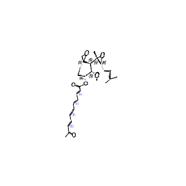 CO[C@@H]1[C@H](OC(=O)/C=C/C=C/C=C/C=C/C(C)=O)CC[C@@]2(CO2)[C@H]1[C@]1(C)O[C@@H]1CC=C(C)C